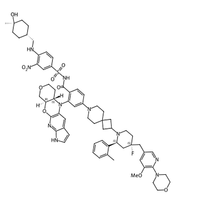 COc1cc(C[C@]2(F)CCN(C3CC4(CCN(c5ccc(C(=O)NS(=O)(=O)c6ccc(NC[C@H]7CC[C@](C)(O)CC7)c([N+](=O)[O-])c6)c(N6c7cc8cc[nH]c8nc7O[C@H]7COCC[C@@H]76)c5)CC4)C3)[C@H](c3ccccc3C)C2)cnc1N1CCOCC1